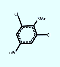 CCCc1cc(Cl)c(SC)c(Cl)c1